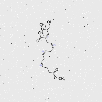 COC(=O)CC/C=C\C/C=C\C/C=C\C/C(=C/C(CO)OC)C(C)=O